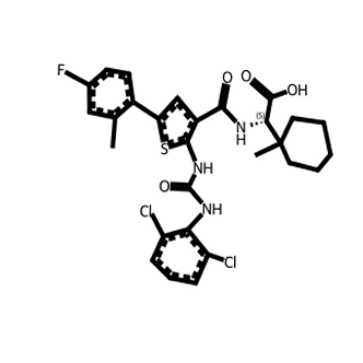 Cc1cc(F)ccc1-c1cc(C(=O)N[C@H](C(=O)O)C2(C)CCCCC2)c(NC(=O)Nc2c(Cl)cccc2Cl)s1